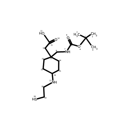 CC(C)(C)OC(=O)NCC1(CC(=O)O)CCC(NCCS)CC1